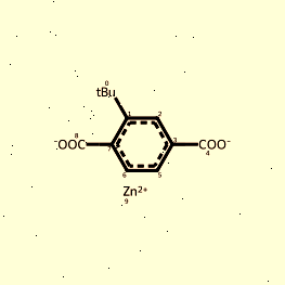 CC(C)(C)c1cc(C(=O)[O-])ccc1C(=O)[O-].[Zn+2]